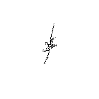 CCCCCCCCCCCCc1cc(C2=CC(Cl)=C(c3cc(CCCCCCCCCCCC)c(Br)s3)C3=CNSN32)sc1Br